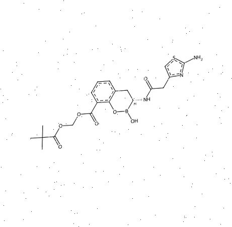 CC(C)(C)C(=O)OCOC(=O)c1cccc2c1OB(O)[C@@H](NC(=O)Cc1csc(N)n1)C2